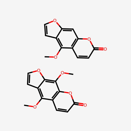 COc1c2ccoc2c(OC)c2oc(=O)ccc12.COc1c2ccoc2cc2oc(=O)ccc12